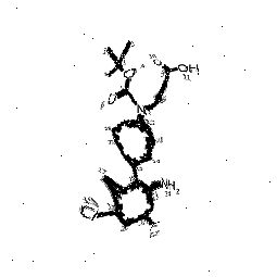 CC(C)(C)OC(=O)N(CC(=O)O)c1ccc(-c2cc(Cl)cc(F)c2N)cc1